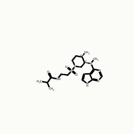 CC(C)C(=O)NCCS(=O)(=O)N1CC[C@@H](C)[C@@H](N(C)c2ncnc3[nH]ccc23)C1